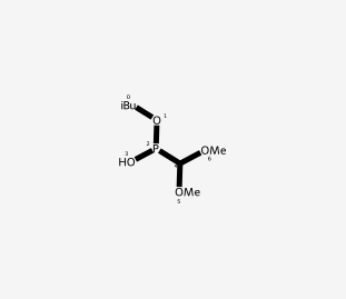 CCC(C)OP(O)C(OC)OC